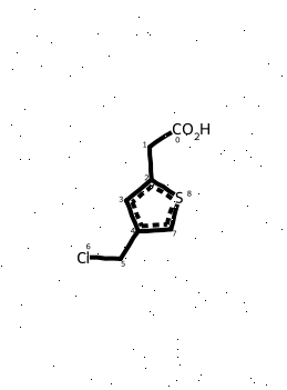 O=C(O)Cc1cc(CCl)cs1